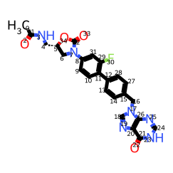 CC(=O)NC[C@H]1CN(c2ccc(-c3ccc(Cn4cnc5c(=O)[nH]cnc54)cc3)c(F)c2)C(=O)O1